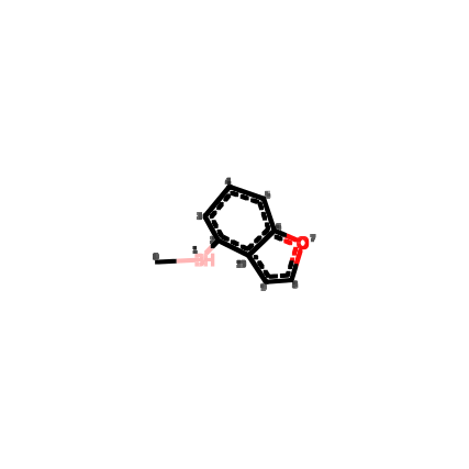 CBc1cccc2occc12